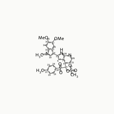 COc1cc2c(-c3cc4c(C(OS(C)(=O)=O)S(=O)(=O)c5ccc(C)cc5)ccnc4[nH]3)cn(C)c2cc1OC